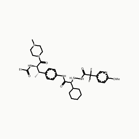 CCC(=O)N[C@@H](C(=O)N1CCN(C)CC1)[C@@H](C)c1ccc(NC(=O)[C@@H]([SiH2]NC(=O)C(F)(F)c2ccc(OC)nc2)C2CCCCC2)cc1